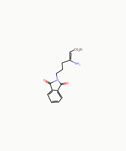 CCOC(=O)/C=C(\N)CCCN1C(=O)c2ccccc2C1=O